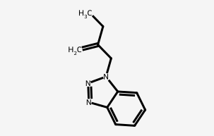 C=C(CC)Cn1nnc2ccccc21